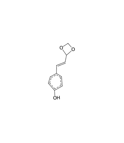 Oc1ccc(/C=C/C2OCO2)cc1